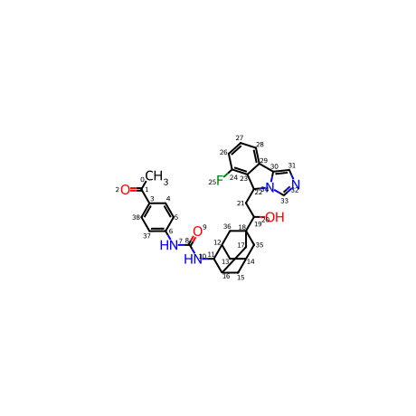 CC(=O)c1ccc(NC(=O)NC2C3CC4CC2CC(C(O)CC2c5c(F)cccc5-c5cncn52)(C4)C3)cc1